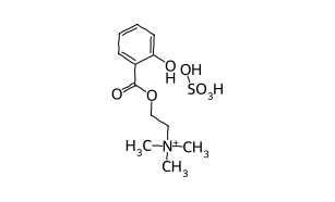 C[N+](C)(C)CCOC(=O)c1ccccc1O.O=S(=O)(O)O